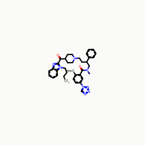 COc1ccc(-n2cnnn2)cc1C(=O)N(C)CC(CCN1CCC(C(=O)c2nc3ccccc3n2CCCC(F)(F)F)CC1)c1ccccc1